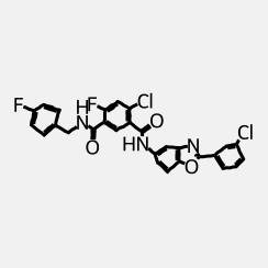 O=C(NCc1ccc(F)cc1)c1cc(C(=O)Nc2ccc3oc(-c4cccc(Cl)c4)nc3c2)c(Cl)cc1F